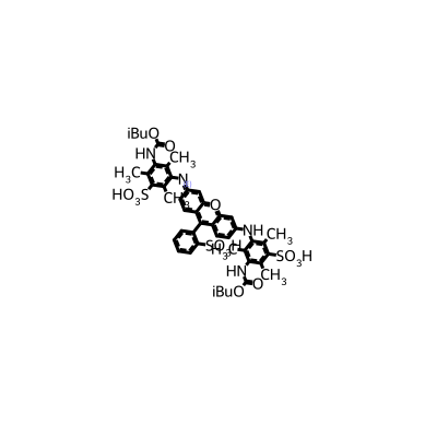 Cc1c(/N=c2\ccc3c(-c4ccccc4S(=O)(=O)O)c4ccc(Nc5c(C)c(NC(=O)OCC(C)C)c(C)c(S(=O)(=O)O)c5C)cc4oc-3c2)c(C)c(S(=O)(=O)O)c(C)c1NC(=O)OCC(C)C